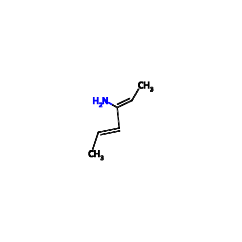 CC=CC(N)=CC